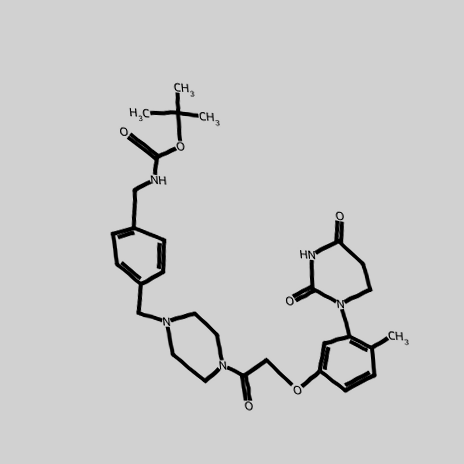 Cc1ccc(OCC(=O)N2CCN(Cc3ccc(CNC(=O)OC(C)(C)C)cc3)CC2)cc1N1CCC(=O)NC1=O